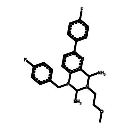 COCCN1C(N)c2nc(-c3ccc(F)cc3)ccc2N(Cc2ccc(F)cc2)C1N